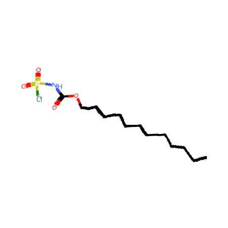 CCCCCCCCCCCCOC(=O)NS(=O)(=O)Cl